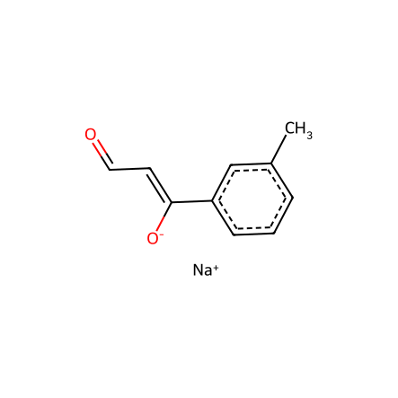 Cc1cccc(C([O-])=CC=O)c1.[Na+]